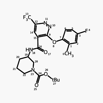 Cc1cc(F)ccc1Oc1nnc(C(F)(F)F)cc1C(=O)NC1CCCN(C(=O)OC(C)(C)C)C1